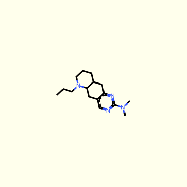 CCCN1CCCC2Cc3nc(N(C)C)ncc3CC21